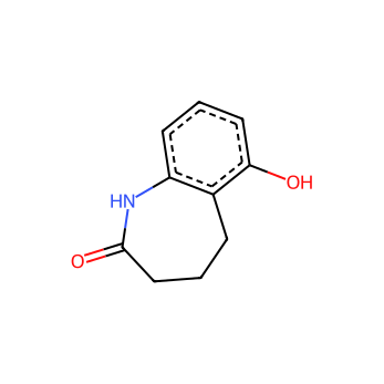 O=C1CCCc2c(O)cccc2N1